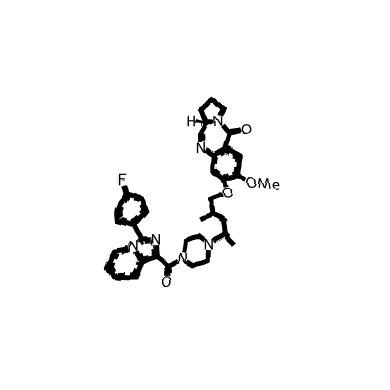 COc1cc2c(cc1OCC(C)CC(C)N1CCN(C(=O)c3nc(-c4ccc(F)cc4)n4ccccc34)CC1)N=C[C@@H]1CCCN1C2=O